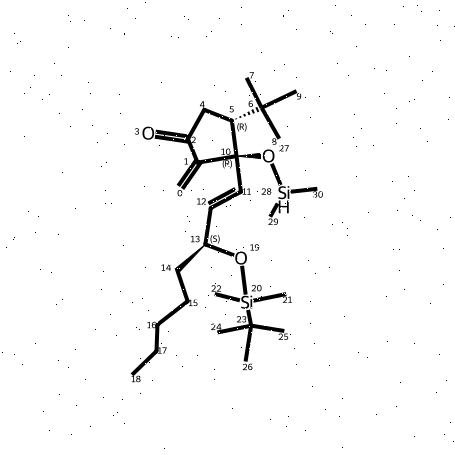 C=C1C(=O)C[C@H](C(C)(C)C)[C@@]1(C=C[C@H](CCCCC)O[Si](C)(C)C(C)(C)C)O[SiH](C)C